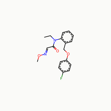 CCN(C(=O)C=NOC)c1ccccc1COc1ccc(F)cc1